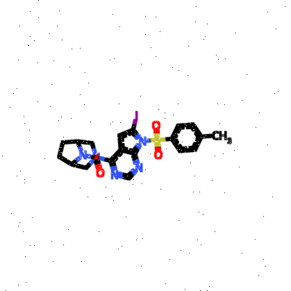 Cc1ccc(S(=O)(=O)n2c(I)cc3c(N4CC5CCC(C4)N5C=O)ncnc32)cc1